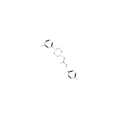 Cc1ccc(OC[C@@H](O)CN2CCN(c3cccc(C)c3)CC2)cc1